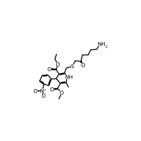 CCOC(=O)C1=C(CSCC(=O)CCCCN)NC(C)=C(C(=O)OC)C1c1cccc([N+](=O)[O-])c1